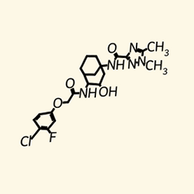 Cc1nc(C(=O)NC23CCCC(C2)C(NC(=O)COc2ccc(Cl)c(F)c2)C(O)C3)nn1C